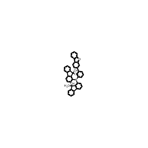 CC1(C)c2ccccc2-c2cccc(N(c3cccc(-c4ccc5c(c4)oc4ccccc45)c3)c3cccc4c3C(C)(C)c3ccccc3-4)c21